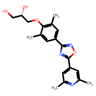 Cc1cc(-c2nc(-c3cc(C)c(OC[C@@H](O)CO)c(C)c3)no2)cc(C)n1